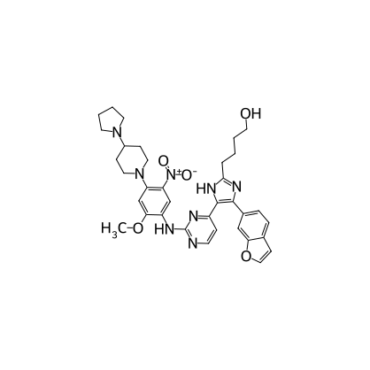 COc1cc(N2CCC(N3CCCC3)CC2)c([N+](=O)[O-])cc1Nc1nccc(-c2[nH]c(CCCCO)nc2-c2ccc3ccoc3c2)n1